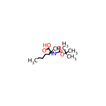 CCCCC[C@@](C)(NC(=O)OC(C)(C)C)C(=O)O